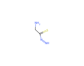 N=NC(=S)CN